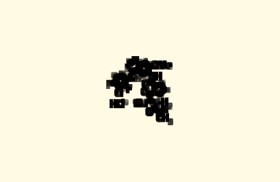 COc1cc2ncnc(Nc3ccc(F)c(Cl)c3F)c2cc1NC(=O)C1CCCN1C(=O)[C@@H](NC(=O)[C@H](C)N)C(C)(C)C.Cl